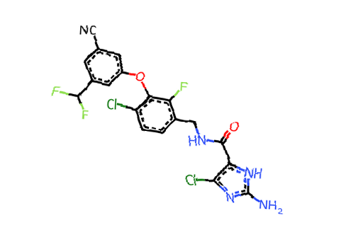 N#Cc1cc(Oc2c(Cl)ccc(CNC(=O)c3[nH]c(N)nc3Cl)c2F)cc(C(F)F)c1